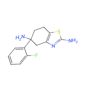 Nc1nc2c(s1)CCC(N)(c1ccccc1F)C2